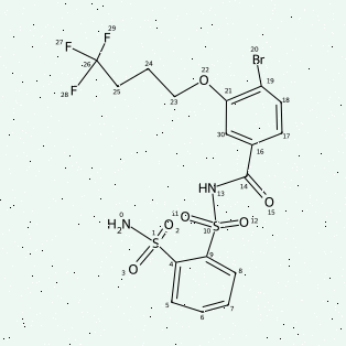 NS(=O)(=O)c1ccccc1S(=O)(=O)NC(=O)c1ccc(Br)c(OCCCC(F)(F)F)c1